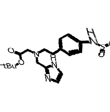 CC(C)(C)OC(=O)CN(CCc1ccc(N[SH](=O)=O)cc1)Cc1ncc[nH]1